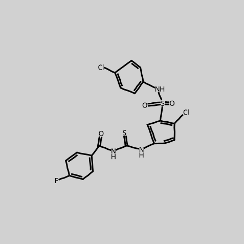 O=C(NC(=S)Nc1ccc(Cl)c(S(=O)(=O)Nc2ccc(Cl)cc2)c1)c1ccc(F)cc1